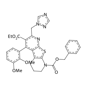 CCOC(=O)c1c(Cn2cncn2)nc2sc3c(c2c1-c1cccc(OC)c1OC)CCCN3C(=O)OCc1ccccc1